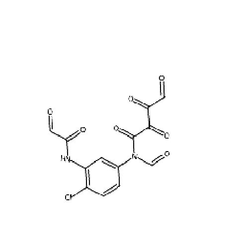 O=CC(=O)Nc1cc(N(C=O)C(=O)C(=O)C(=O)C=O)ccc1Cl